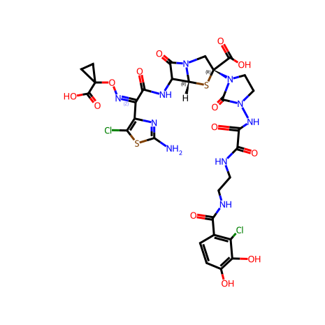 Nc1nc(/C(=N/OC2(C(=O)O)CC2)C(=O)NC2C(=O)N3C[C@@](C(=O)O)(N4CCN(NC(=O)C(=O)NCCNC(=O)c5ccc(O)c(O)c5Cl)C4=O)S[C@H]23)c(Cl)s1